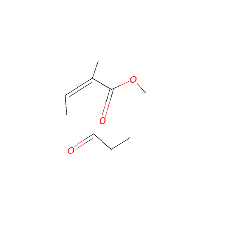 CC=C(C)C(=O)OC.CCC=O